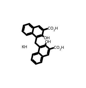 O=C(O)c1cc2ccccc2c(Cc2c(O)c(C(=O)O)cc3ccccc23)c1O.[KH]